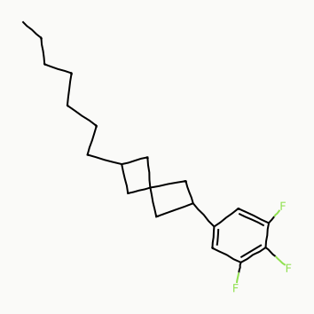 CCCCCCCC1CC2(C1)CC(c1cc(F)c(F)c(F)c1)C2